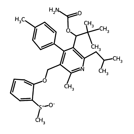 Cc1ccc(-c2c(COc3ccccc3[S+](C)[O-])c(C)nc(CC(C)C)c2C(OC(N)=O)C(C)(C)C)cc1